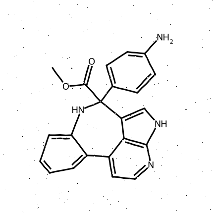 COC(=O)C1(c2ccc(N)cc2)Nc2ccccc2-c2ccnc3[nH]cc1c23